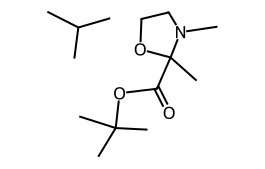 CC(C)C.CN1CCOC1(C)C(=O)OC(C)(C)C